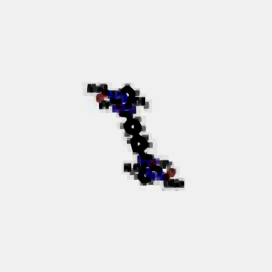 COC(=O)N[C@H](C(=O)N1CCC[C@@]1(C)c1nc(-c2ccc(-c3ccc(-c4c[nH]c([C@]5(C)CCCN5C(=O)[C@@H](NC(=O)OC)C(C)C)n4)cc3)cc2)c[nH]1)C(C)C